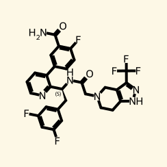 NC(=O)c1cc(-c2cccnc2[C@H](Cc2cc(F)cc(F)c2)NC(=O)CN2CCc3[nH]nc(C(F)(F)F)c3C2)ccc1F